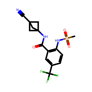 CS(=O)(=O)Nc1ccc(C(F)(F)F)cc1C(=O)NC12CC(C#N)(C1)C2